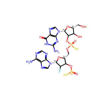 Nc1nc2c(ncn2[C@@H]2O[C@H](CO)C(O)C2OP(=O)(S)OC[C@H]2O[C@@H](n3cnc4c(N)ncnc43)C(F)C2O[PH](=O)S)c(=O)[nH]1